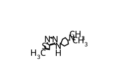 Cc1cc2c(N[C@H]3CC[C@H](N(C)C)CC3)ncnc2s1